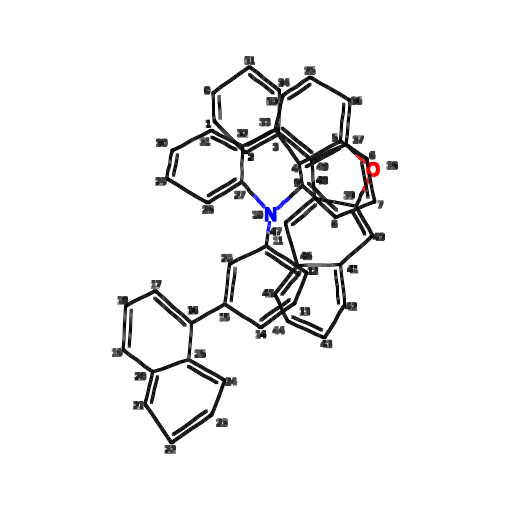 c1ccc(-c2ccccc2N(c2cccc(-c3cccc4ccccc34)c2)c2ccccc2-c2cccc3oc4cc5ccccc5cc4c23)cc1